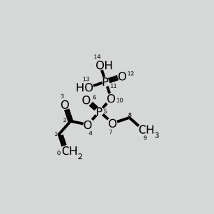 C=CC(=O)OP(=O)(OCC)OP(=O)(O)O